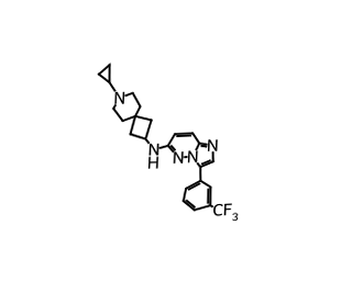 FC(F)(F)c1cccc(-c2cnc3ccc(NC4CC5(CCN(C6CC6)CC5)C4)nn23)c1